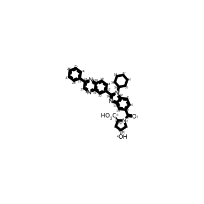 O=C(O)[C@@H]1C[C@@H](O)CN1C(=O)c1ccc2c(c1)nc(-c1ccc3nc(-c4ccccc4)cnc3c1)n2C1CCCCC1